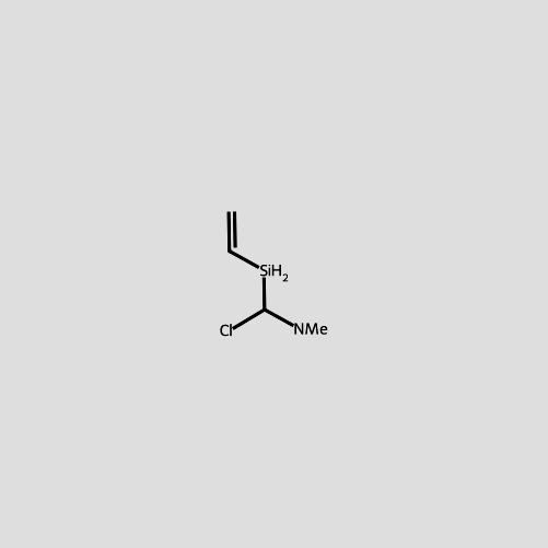 C=C[SiH2]C(Cl)NC